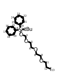 CC(C)(C)[Si](OCOCCOCCOCCI)(c1ccccc1)c1ccccc1